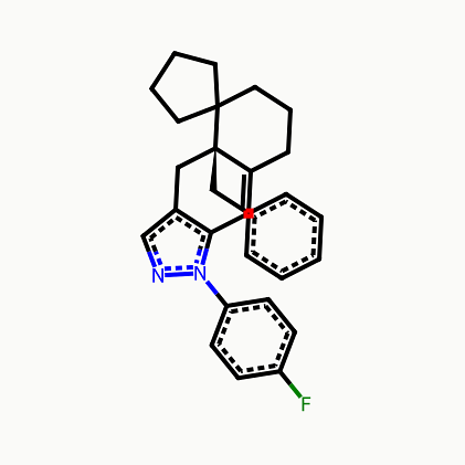 Fc1ccc(-n2ncc3c2C=C2CCCC4(CCCC4)[C@@]2(Cc2ccccc2)C3)cc1